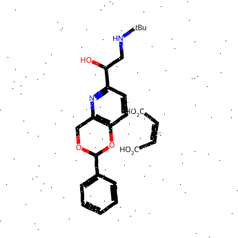 CC(C)(C)NCC(O)c1ccc2c(n1)COC(c1ccccc1)O2.O=C(O)/C=C\C(=O)O